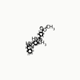 CCOC(=O)c1ccc(C(=O)Nc2cc(Nc3ncc4ccccc4n3)ccc2C)cc1